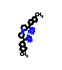 Cc1ccc2cc(C([C@H]3CCCN(N4CCC[C@H](C(c5ccc6cc(C)ccc6c5)n5ncnn5)C4)C3)n3ncnn3)ccc2c1